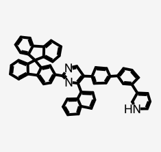 C1=CNCC(c2cccc(-c3ccc(-c4cnc(-c5ccc6c(c5)C5(c7ccccc7-c7ccccc75)c5ccccc5-6)nc4-c4cccc5ccccc45)cc3)c2)=C1